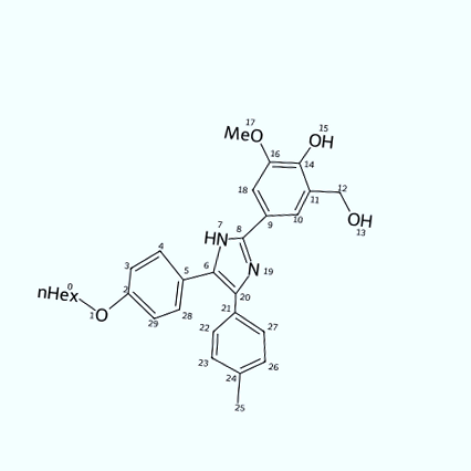 CCCCCCOc1ccc(-c2[nH]c(-c3cc(CO)c(O)c(OC)c3)nc2-c2ccc(C)cc2)cc1